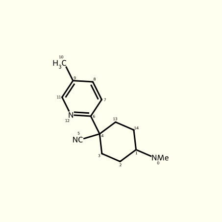 CNC1CCC(C#N)(c2ccc(C)cn2)CC1